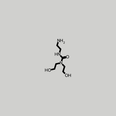 NCCNC(=O)N(CCO)CCO